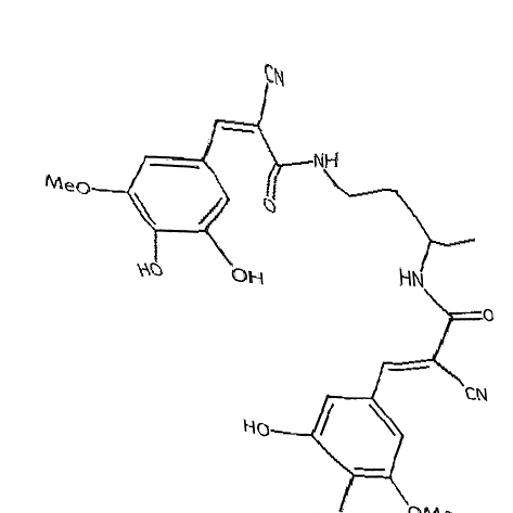 COc1cc(C=C(C#N)C(=O)NCCC(C)NC(=O)C(C#N)=Cc2cc(O)c(O)c(OC)c2)cc(O)c1O